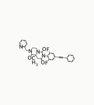 CC12CC(=O)N(c3c(F)cc(C#Cc4ccccc4)cc3F)C(=O)N1CCN(Cc1ccccn1)C2=O